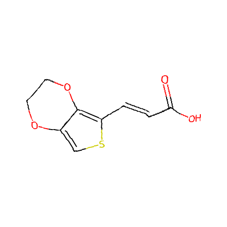 O=C(O)C=Cc1scc2c1OCCO2